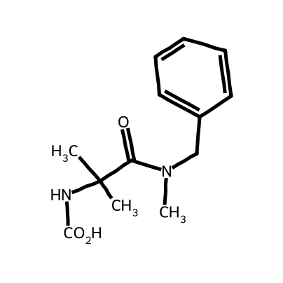 CN(Cc1ccccc1)C(=O)C(C)(C)NC(=O)O